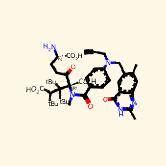 C#CCN(Cc1cc2c(=O)[nH]c(C)nc2cc1C)c1ccc(C(=O)N(C)[C@@](C(=O)O)(C(=O)CC[C@H](N)C(=O)O)C(C(C(=O)O)C(C)(C)C)(C(C)(C)C)C(C)(C)C)cc1